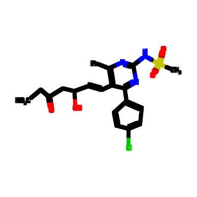 CC(C)c1nc(NS(C)(=O)=O)nc(-c2ccc(Cl)cc2)c1/C=C/C(O)CC(=O)CC(=O)O